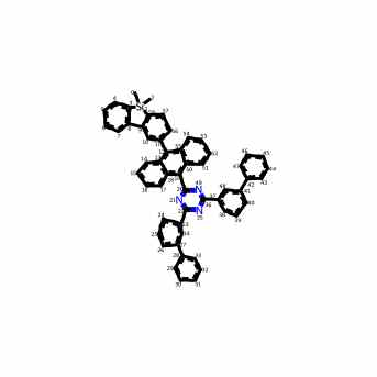 C[Si]1(C)c2ccccc2-c2cc(-c3c4ccccc4c(-c4nc(-c5cccc(-c6ccccc6)c5)nc(-c5cccc(-c6ccccc6)c5)n4)c4ccccc34)ccc21